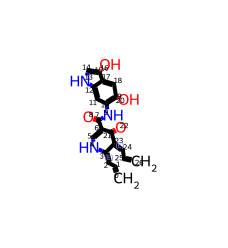 C=C/C=c1/[nH]cc(C(=O)Nc2cc3[nH]cc(O)c3cc2O)c(=O)/c1=C/C=C